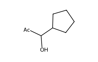 CC(=O)C(O)C1CCCC1